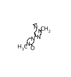 C=N/C=N\C(=C/CN1CC1)N1CCN(C)C(=O)C1